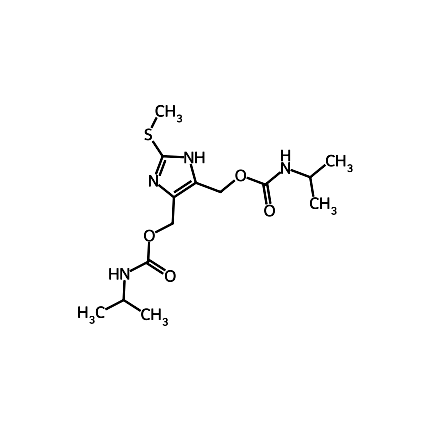 CSc1nc(COC(=O)NC(C)C)c(COC(=O)NC(C)C)[nH]1